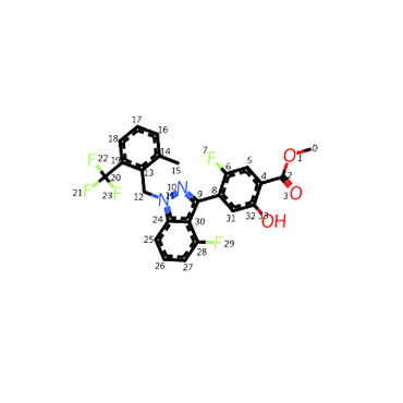 COC(=O)c1cc(F)c(-c2nn(Cc3c(C)cccc3C(F)(F)F)c3cccc(F)c23)cc1O